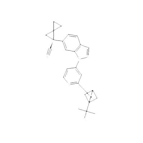 CC(C)(O)C12CC(C1)N(c1cc(-n3ncc4ccc([C@]5(C#N)CC56CC6)cc43)ccn1)C2